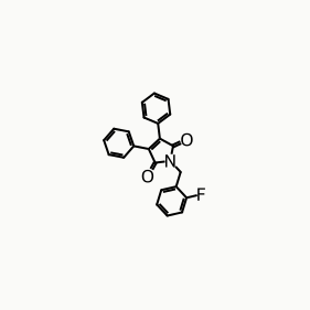 O=C1C(c2ccccc2)=C(c2ccccc2)C(=O)N1Cc1ccccc1F